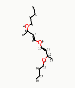 CCCCOC(C)C=COC=CC(C)OCCCC